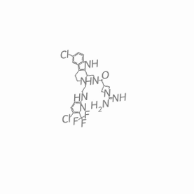 N=C(N)N1CC(C(=O)NCC2c3[nH]c4ccc(Cl)cc4c3CCN2CCNc2ccc(Cl)c(C(F)(F)F)n2)C1